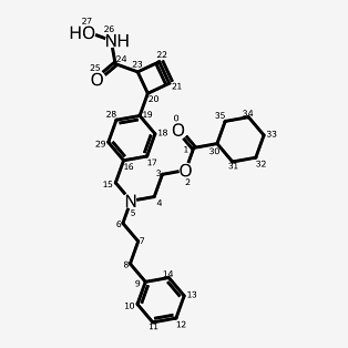 O=C(OCCN(CCCc1ccccc1)Cc1ccc(C2C#CC2C(=O)NO)cc1)C1CCCCC1